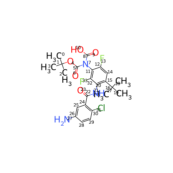 CC(C)(C)OC(=O)N(C(=O)O)c1c(F)cc(C(C)(C)C)c(NC(=O)c2cc(N)ccc2Cl)c1F